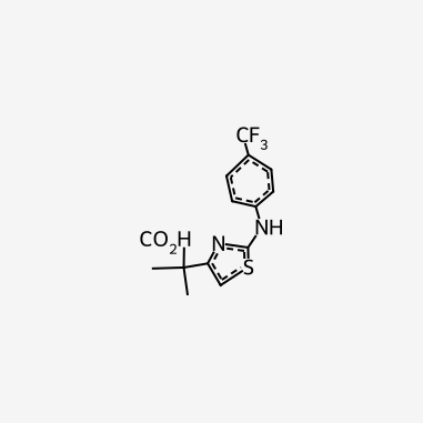 CC(C)(C(=O)O)c1csc(Nc2ccc(C(F)(F)F)cc2)n1